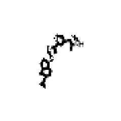 Cc1[nH]nnc1-c1ccnc(-c2cn(C[C@@H]3CCc4cc(C5CC5)ccc43)cn2)c1